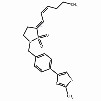 CCC/C=C\C=C1/CCN(Cc2ccc(-c3csc(C)n3)cc2)S1(=O)=O